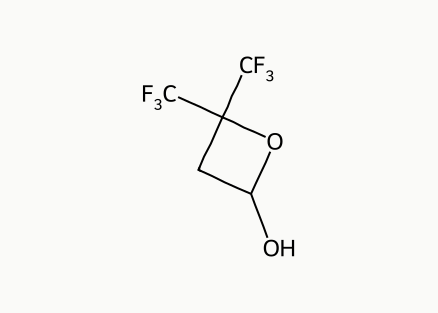 OC1CC(C(F)(F)F)(C(F)(F)F)O1